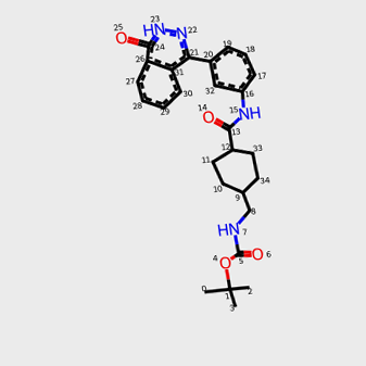 CC(C)(C)OC(=O)NCC1CCC(C(=O)Nc2cccc(-c3n[nH]c(=O)c4ccccc34)c2)CC1